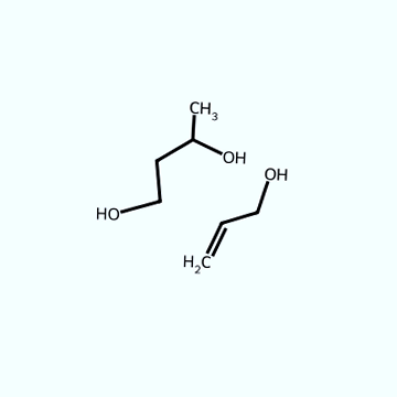 C=CCO.CC(O)CCO